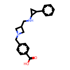 O=C(O)c1ccc(CN2CC(CNC3CC3c3ccccc3)C2)cc1